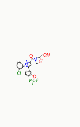 O=C(c1cc(-c2cccc(OC(F)(F)F)c2)n(-c2cccc(Cl)c2)n1)N1CCOC(CO)C1